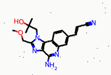 COCc1nc2c(N)nc3cc(/C=C/C#N)ccc3c2n1CC(C)(C)O